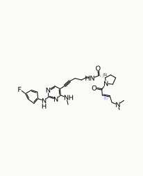 CNc1nc(Nc2ccc(F)cc2)ncc1C#CCCCNC(=O)[C@@H]1CCCN1C(=O)/C=C/CN(C)C